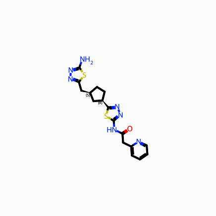 Nc1nnc(C[C@H]2CC[C@@H](c3nnc(NC(=O)Cc4ccccn4)s3)C2)s1